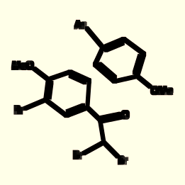 COc1ccc(C(=O)C(Br)Br)cc1Br.COc1ccc(C(C)=O)cc1